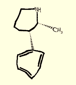 C[C@H]1NCC[C@H]1c1ccccc1